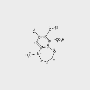 CCOc1c(Cl)cc2c(c1C(=O)O)OCCCN2C